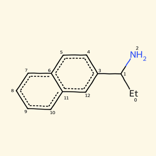 CCC(N)c1ccc2ccccc2c1